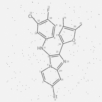 CCc1ccn2c(Nc3ccc(F)c(Cl)c3)c(-c3cc(C)c(C)o3)nc2c1